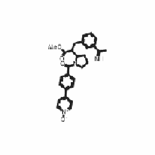 COC(=O)C(Cc1cccc(C(C)=N)c1)C1CCCN1C(=O)c1ccc(-c2cc[n+]([O-])cc2)cc1